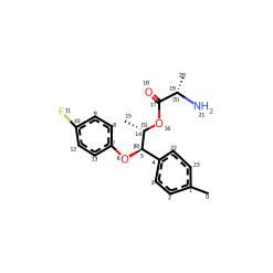 Cc1ccc([C@@H](Oc2ccc(F)cc2)[C@H](C)OC(=O)[C@H](C)N)cc1